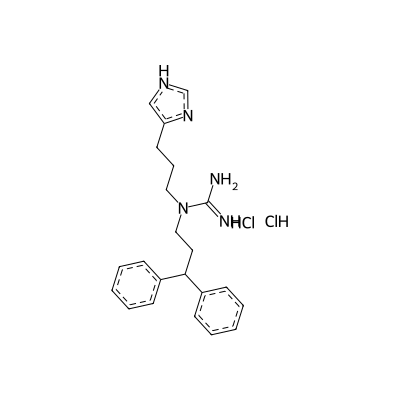 Cl.Cl.N=C(N)N(CCCc1c[nH]cn1)CCC(c1ccccc1)c1ccccc1